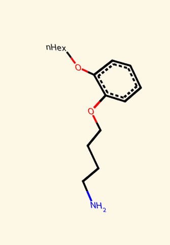 CCCCCCOc1ccccc1OCCCCN